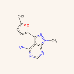 Cn1nc(-c2ccc(C=O)o2)c2c(N)ncnc21